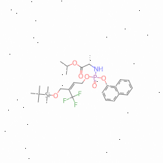 CC(C)OC(=O)[C@H](C)NP(=O)(OC/C=C(/CO[Si](C)(C)C(C)(C)C)C(F)(F)F)Oc1cccc2ccccc12